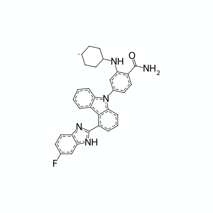 NC(=O)c1ccc(-n2c3ccccc3c3c(-c4nc5ccc(F)cc5[nH]4)cccc32)cc1NC1CC[CH]CC1